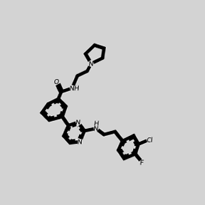 O=C(NCCN1CCCC1)c1cccc(-c2ccnc(NCCc3ccc(F)c(Cl)c3)n2)c1